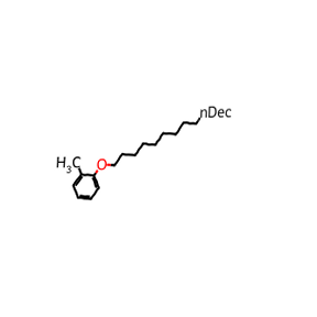 CCCCCCCCCCCCCCCCCCCOc1ccccc1C